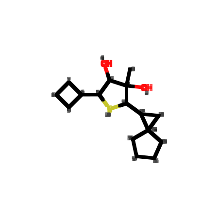 CC1(O)C(O)C(C2CCC2)SC1C1CC12CCCC2